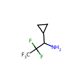 NC(C1CC1)C(F)(F)C(F)(F)F